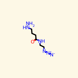 [N-]=[N+]=NCCNC(=O)CCCNN